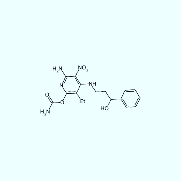 CCc1c(OC(N)=O)nc(N)c([N+](=O)[O-])c1NCCC(O)c1ccccc1